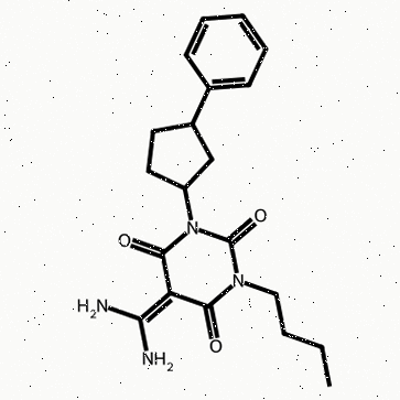 CCCCN1C(=O)C(=C(N)N)C(=O)N(C2CCC(c3ccccc3)C2)C1=O